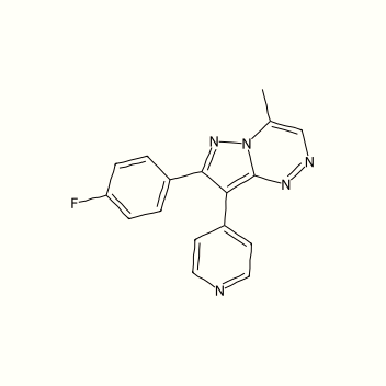 Cc1cnnc2c(-c3ccncc3)c(-c3ccc(F)cc3)nn12